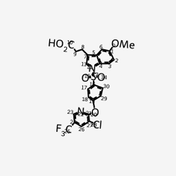 COc1ccc2c(c1)c(CCC(=O)O)cn2S(=O)(=O)c1ccc(Oc2ncc(C(F)(F)F)cc2Cl)cc1